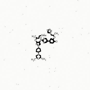 COCCC(C)Oc1nn([C@H]2CC[C@H](N3C[C@@H](C)O[C@@H](C)C3)CC2)cc1Nc1ncc(-c2ccc(Cl)c(O[C@@H](C)Cn3cnnn3)c2)cn1